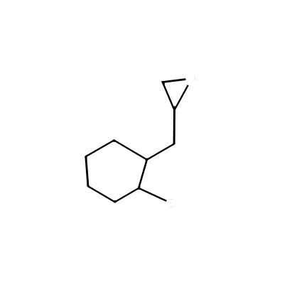 CCC1CCCCC1CC1CO1